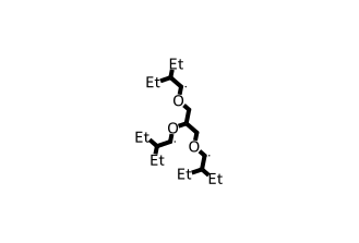 CCC([CH]OCC(CO[CH]C(CC)CC)O[CH]C(CC)CC)CC